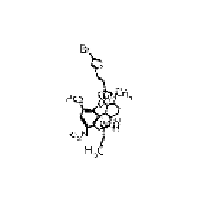 C=CCN1CC[C@]23c4c5c([N+](=O)[O-])cc(O)c4O[C@H]2[C@H](N(C)C(=O)/C=C/c2cc(Br)cs2)CC[C@H]3[C@H]1C5